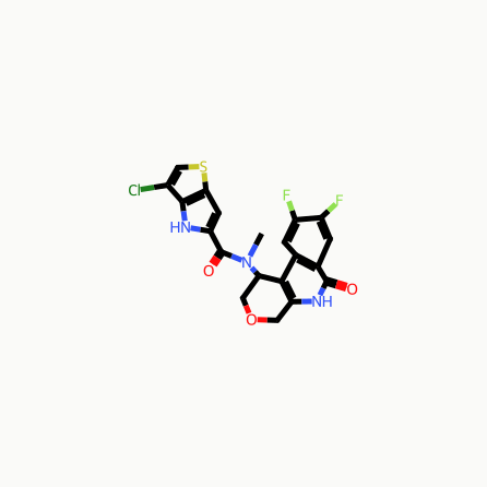 CN(C(=O)c1cc2scc(Cl)c2[nH]1)C1COCc2[nH]c(=O)c3cc(F)c(F)cc3c21